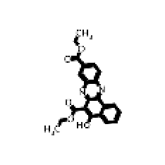 CCOC(=O)c1ccc2nc3c(nc2c1)c(C(=O)OCC)c(O)c1ccccc13